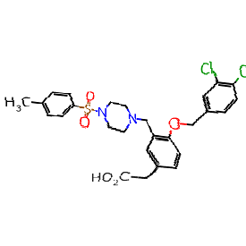 Cc1ccc(S(=O)(=O)N2CCN(Cc3cc(CC(=O)O)ccc3OCc3ccc(Cl)c(Cl)c3)CC2)cc1